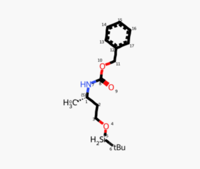 C[C@@H](CCO[SiH2]C(C)(C)C)NC(=O)OCc1ccccc1